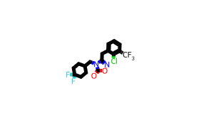 O=c1onc(Cc2cccc(C(F)(F)F)c2Cl)n1CC1CCC(F)(F)CC1